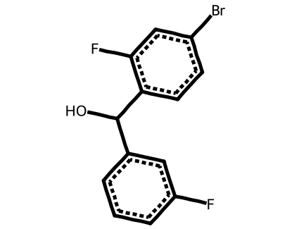 OC(c1cccc(F)c1)c1ccc(Br)cc1F